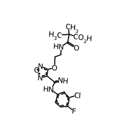 CC(C)(C(=O)O)C(=O)NCCOc1nonc1C(=N)Nc1ccc(F)c(Cl)c1